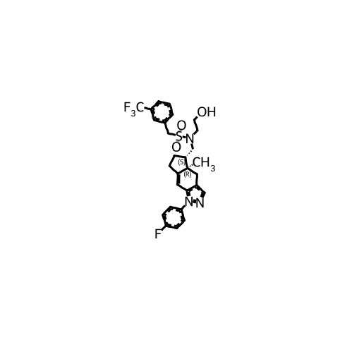 C[C@]12Cc3cnn(-c4ccc(F)cc4)c3C=C1CC[C@@H]2CN(CCO)S(=O)(=O)Cc1cccc(C(F)(F)F)c1